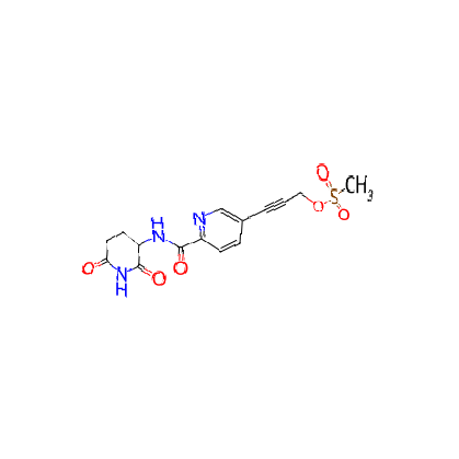 CS(=O)(=O)OCC#Cc1ccc(C(=O)NC2CCC(=O)NC2=O)nc1